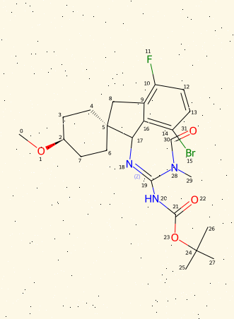 CO[C@H]1CC[C@]2(CC1)Cc1c(F)ccc(Br)c1C2/N=C(/NC(=O)OC(C)(C)C)N(C)C=O